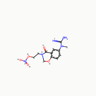 CN(C(=N)N)c1ccc2c(c1)C(=O)N(CCO[N+](=O)[O-])CO2